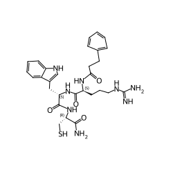 N=C(N)NCCC[C@H](NC(=O)CCc1ccccc1)C(=O)N[C@@H](Cc1c[nH]c2ccccc12)C(=O)N[C@@H](CS)C(N)=O